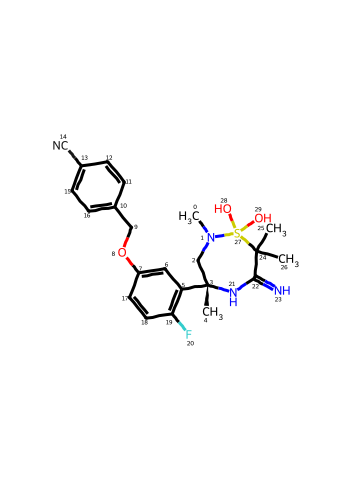 CN1C[C@@](C)(c2cc(OCc3ccc(C#N)cc3)ccc2F)NC(=N)C(C)(C)S1(O)O